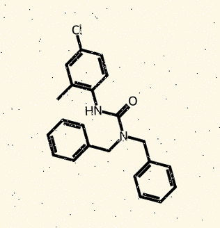 Cc1cc(Cl)ccc1NC(=O)N(Cc1ccccc1)Cc1ccccc1